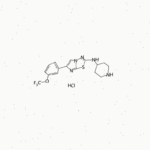 Cl.FC(F)(F)Oc1cccc(-c2cn3nc(NC4CCNCC4)sc3n2)c1